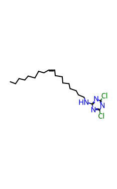 CCCCCCCC/C=C\CCCCCCCCNc1nc(Cl)nc(Cl)n1